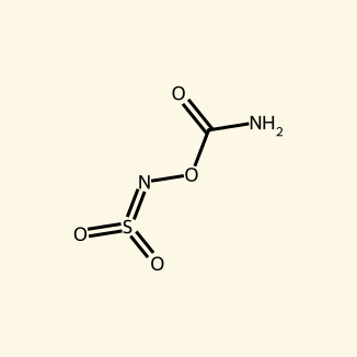 NC(=O)ON=S(=O)=O